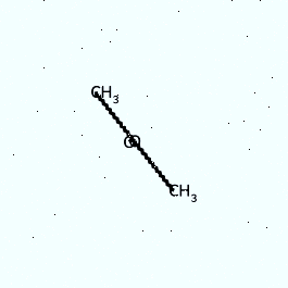 CCCCCCCCCCCCCCCCCCCCCCOC(=O)CCCCCCCCCCCCCCCCCCCCC